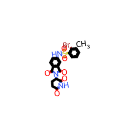 Cc1cccc(S(=O)(=O)Nc2ccc3c(c2)C(=O)N(C2CCC(=O)NC2=O)C3=O)c1Br